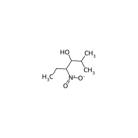 CCC(C(O)C(C)C)[N+](=O)[O-]